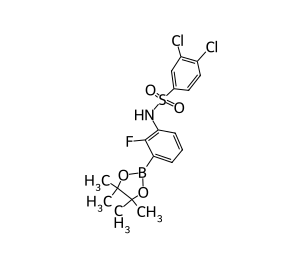 CC1(C)OB(c2cccc(NS(=O)(=O)c3ccc(Cl)c(Cl)c3)c2F)OC1(C)C